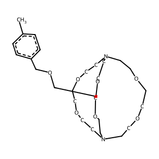 Cc1ccc(COCC2COCCN3CCOCCOCCN(CCOCCOCC3)CCO2)cc1